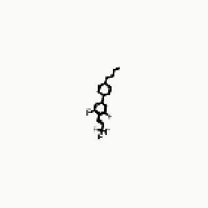 C=CCCC1CCC(c2cc(F)c(/C=C/C(F)(F)F)c(F)c2)CC1